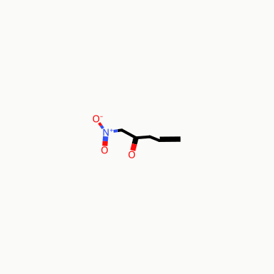 C=CCC(=O)C[N+](=O)[O-]